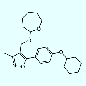 Cc1noc(-c2ccc(OC3CCCCC3)cc2)c1COC1CCCCCO1